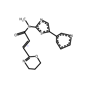 CN(C(=O)/C=C/C1=NCCCO1)c1ncc(-c2cccnc2)s1